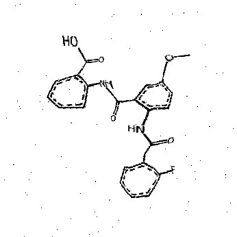 COc1ccc(NC(=O)c2ccccc2F)c(C(=O)Nc2ccccc2C(=O)O)c1